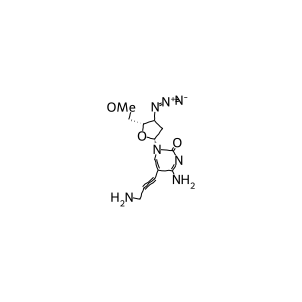 COC[C@H]1O[C@@H](n2cc(C#CCN)c(N)nc2=O)CC1N=[N+]=[N-]